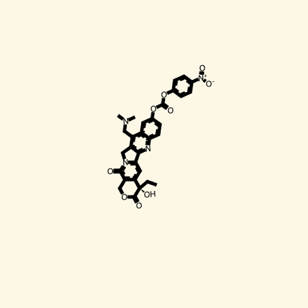 CC[C@@]1(O)C(=O)OCc2c1cc1n(c2=O)Cc2c-1nc1ccc(OC(=O)Oc3ccc([N+](=O)[O-])cc3)cc1c2CN(C)C